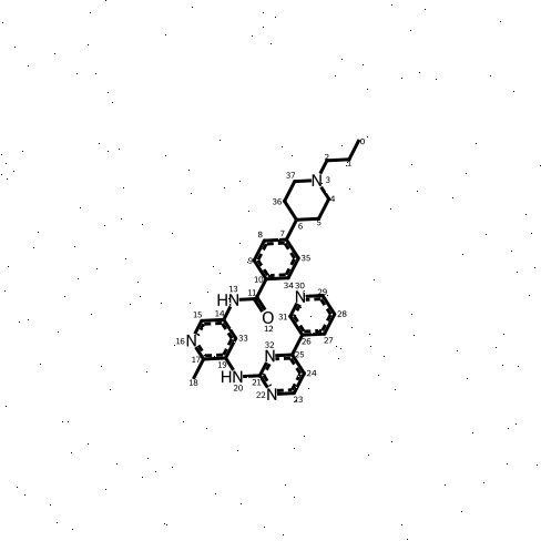 CCCN1CCC(c2ccc(C(=O)Nc3cnc(C)c(Nc4nccc(-c5cccnc5)n4)c3)cc2)CC1